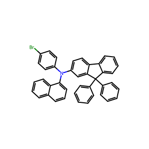 Brc1ccc(N(c2ccc3c(c2)C(c2ccccc2)(c2ccccc2)c2ccccc2-3)c2cccc3ccccc23)cc1